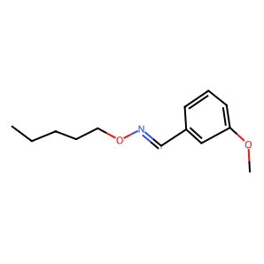 CCCCCO/N=[C]/c1cccc(OC)c1